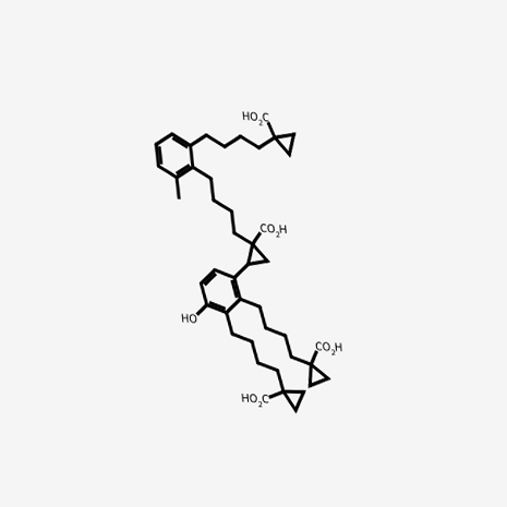 Cc1cccc(CCCCC2(C(=O)O)CC2)c1CCCCC1(C(=O)O)CC1c1ccc(O)c(CCCCC2(C(=O)O)CC2)c1CCCCC1(C(=O)O)CC1